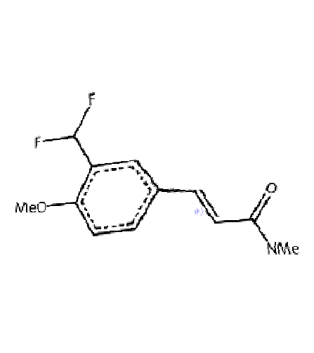 CNC(=O)/C=C/c1ccc(OC)c(C(F)F)c1